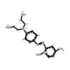 Cc1cc[n+](O)c(/N=N/c2ccc(N(CCO)CCO)cc2)c1